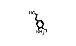 Nc1cc(CCO)ccc1Cl